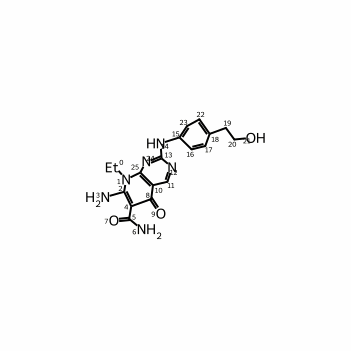 CCn1c(N)c(C(N)=O)c(=O)c2cnc(Nc3ccc(CCO)cc3)nc21